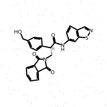 O=C(Nc1ccc2cnsc2c1)[C@H](CN1C(=O)c2ccccc2C1=O)c1ccc(CO)cc1